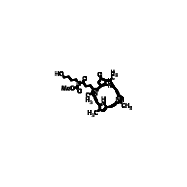 COC(=O)N(CCCCO)C(=O)CCC1C2=NC(=Cc3[nH]c(cc3C)C=c3[nH]c(cc3C)=CC3NC4=C2CC(=O)C4=C3C)C1C